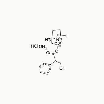 C[N+]1([O-])[C@@H]2CC[C@H]1C[C@@H](OC(=O)C(CO)c1ccccc1)C2.Cl.O